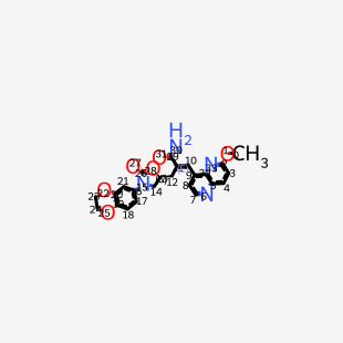 COc1ccc2nccc(/C=C(\C[C@H]3CN(c4ccc5c(c4)OCCO5)C(=O)O3)C(N)=O)c2n1